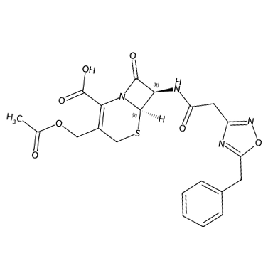 CC(=O)OCC1=C(C(=O)O)N2C(=O)[C@@H](NC(=O)Cc3noc(Cc4ccccc4)n3)[C@H]2SC1